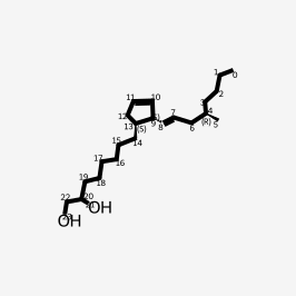 CCCC[C@@H](C)CC=C[C@H]1C=CC[C@@H]1CCCCCCC(O)CO